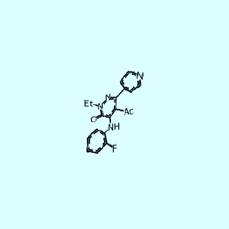 CCn1nc(-c2ccncc2)c(C(C)=O)c(Nc2ccccc2F)c1=O